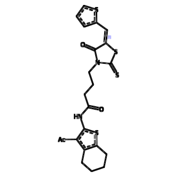 CC(=O)c1c(NC(=O)CCCN2C(=O)/C(=C\c3cccs3)SC2=S)sc2c1CCCC2